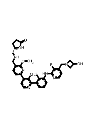 COc1nc(-c2ccnc(-c3cccc(Nc4nccc(CN5CC(O)C5)c4F)c3Cl)c2Cl)ccc1CNC[C@@H]1CCC(=O)N1